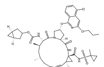 CCCOc1cc2c(Cl)cccc2c(O[C@@H]2C[C@H]3C(=O)N[C@]4(C(=O)NS(=O)(=O)C5(C)CC5)C[C@H]4/C=C\CC[C@H](C)C[C@@H](C)[C@H](NC(=O)OC4C[C@@H]5C[C@@H]5C4)C(=O)N3C2)n1